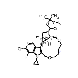 CC(C)(C)OC(=O)N1C[C@@H]2[C@H]3c4c(n(C5CC5)c5c(F)c(Cl)ncc45)COC/C=C/COC[C@@H]1[C@H]23